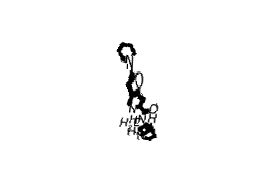 C[C@H]1[C@H](NC(=O)c2cc3oc(N4CCCCC4)cc3cn2)C2CCN1CC2